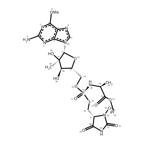 COc1nc(N)nc2c1ncn2[C@@H]1O[C@H](CO[P@](=O)(N[C@@H](C)C(=O)OC(C)C)SC[C@H]2C(=O)NC(=O)N2C)[C@@H](O)[C@@]1(C)O